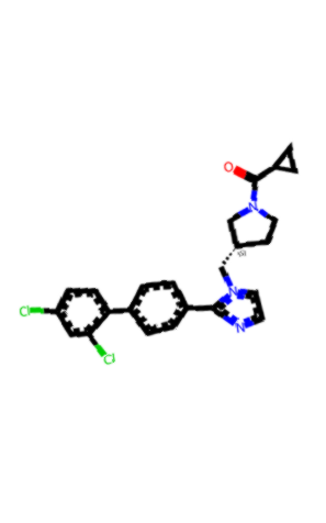 O=C(C1CC1)N1CC[C@H](Cn2ccnc2-c2ccc(-c3ccc(Cl)cc3Cl)cc2)C1